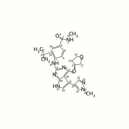 CNC(=O)c1ccc(Nc2nc(O[C@H]3CCOC3)c3c(-c4cnn(C)c4)c[nH]c3n2)c(C(C)C)c1